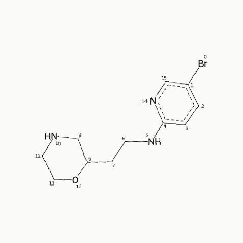 Brc1ccc(NCCC2CNCCO2)nc1